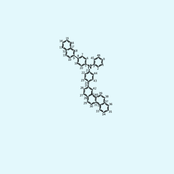 c1ccc(N(c2ccc(-c3ccc4ccccc4c3)cc2)c2ccc(-c3ccc4ccc5c6ccccc6ccc5c4c3)cc2)cc1